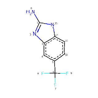 NC1=Nc2cc(C(F)(F)F)ccc2[N]1